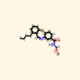 CCCCc1cccc2c1C=Nc1cc(C(=O)NCOC)ccc1S2